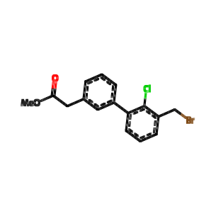 COC(=O)Cc1cccc(-c2cccc(CBr)c2Cl)c1